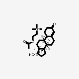 CC(=O)OCC[N+](C)(C)C.C[C@]12CC[C@H]3[C@@H](CCC4=CC(=O)CC[C@@]43C)[C@@H]1CC[C@@H]2O